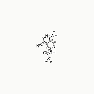 CNc1ncc(C#N)c2cc(NC(=O)C3CC3)ncc12